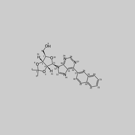 CC1(C)O[C@@H]2[C@H](O1)[C@@H](CO)O[C@H]2n1cnc2c(-c3ccc4ccccc4c3)ncnc21